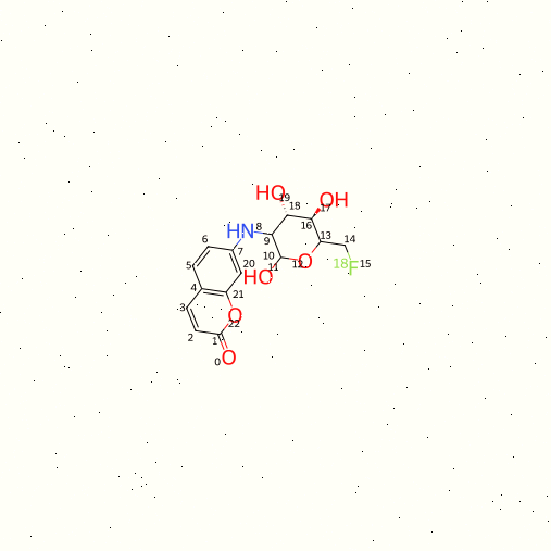 O=c1ccc2ccc(NC3C(O)OC(C[18F])[C@H](O)[C@H]3O)cc2o1